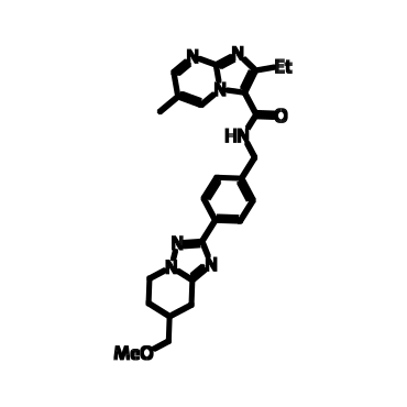 CCc1nc2ncc(C)cn2c1C(=O)NCc1ccc(-c2nc3n(n2)CCC(COC)C3)cc1